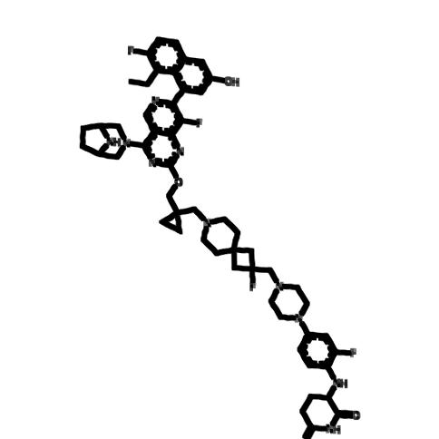 CCc1c(F)ccc2cc(O)cc(-c3ncc4c(N5CC6CCC(C5)N6)nc(OCC5(CN6CCC7(CC6)CC(F)(CN6CCN(c8ccc(NC9CCC(=O)NC9=O)c(F)c8)CC6)C7)CC5)nc4c3F)c12